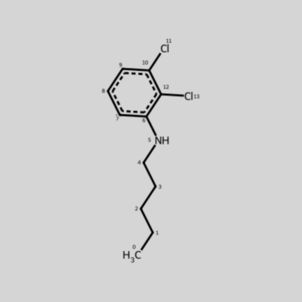 CCCCCNc1[c]ccc(Cl)c1Cl